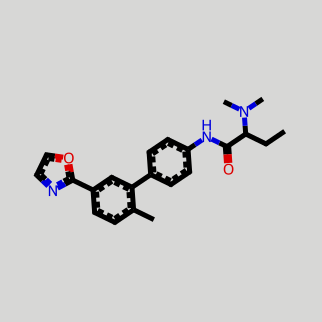 CCC(C(=O)Nc1ccc(-c2cc(-c3ncco3)ccc2C)cc1)N(C)C